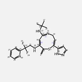 C=C1S/C(c2ccn[nH]2)=C\C/N=C(NC(C)(C)C)\C=C/1NCC(F)(F)c1ccccn1